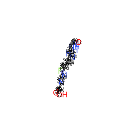 Cc1c(/C=C(\F)c2cc3c(cn2)CN(CCC24CCC(C(=O)O)(CC2)C4)CC3)cccc1-c1cccc(Cc2nccc3cc(CNC[C@@H]4CCC(=O)N4)cnc23)c1C